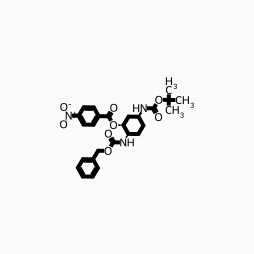 CC(C)(C)OC(=O)N[C@H]1CC[C@H](NC(=O)OCc2ccccc2)[C@H](OC(=O)c2ccc([N+](=O)[O-])cc2)C1